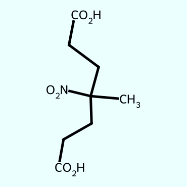 CC(CCC(=O)O)(CCC(=O)O)[N+](=O)[O-]